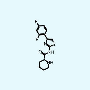 O=C(Nc1nc(-c2ccc(F)cc2F)cs1)[C@@H]1CCCCN1